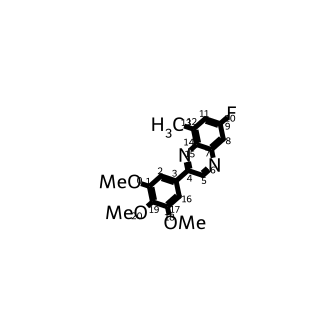 COc1cc(-c2cnc3cc(F)cc(C)c3n2)cc(OC)c1OC